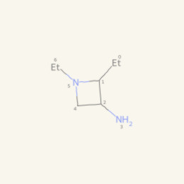 CCC1C(N)CN1CC